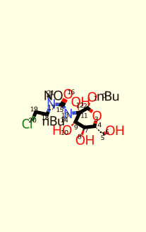 CCCCO[C@@H]1O[C@H](CO)[C@@H](O)[C@H](O)[C@@]1(O)N(CCCC)C(=O)N(CCCl)N=O